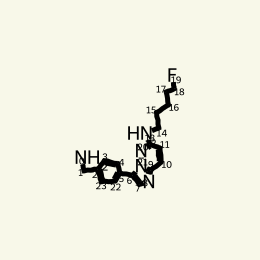 NCc1ccc(-c2cnc3ccc(NCCCCCF)nn23)cc1